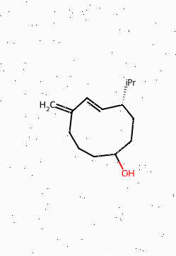 C=C1/C=C/[C@H](C(C)C)CCC(O)CCC1